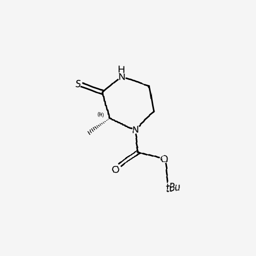 C[C@@H]1C(=S)NCCN1C(=O)OC(C)(C)C